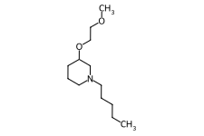 CCCCCN1CCCC(OCCOC)C1